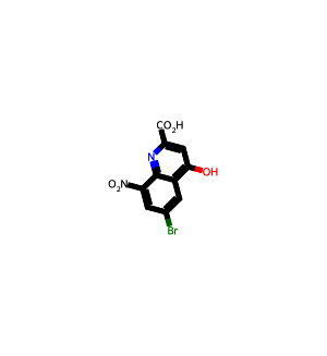 O=C(O)c1cc(O)c2cc(Br)cc([N+](=O)[O-])c2n1